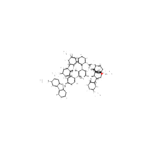 CC(C)(C)c1ccc2c(c1)c1ccccc1n2-c1ccc(-c2nc(-n3c4ccc(C#N)cc4c4cc(C#N)ccc43)cc(-c3ccccc3-c3nc4ccccc4s3)c2-n2c3ccc(C#N)cc3c3cc(C#N)ccc32)cc1